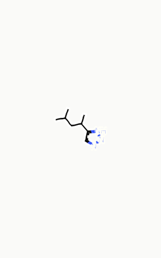 CC(C)CC(C)c1cnn[nH]1